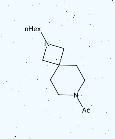 CCCCCCN1CC2(CCN(C(C)=O)CC2)C1